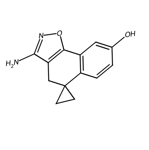 Nc1noc2c1CC1(CC1)c1ccc(O)cc1-2